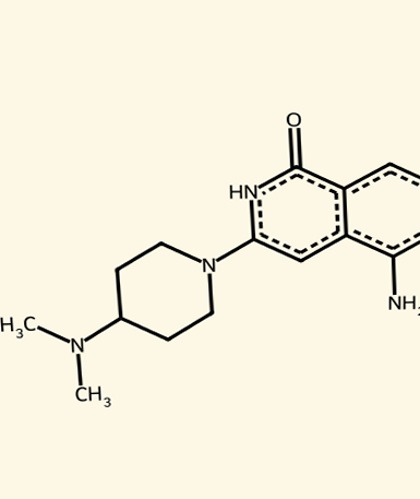 CN(C)C1CCN(c2cc3c(N)cccc3c(=O)[nH]2)CC1